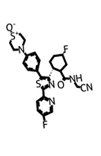 N#CCNC(=O)C1C[C@@H](F)CC[C@H]1c1nc(-c2ccc(F)cn2)sc1-c1ccc(N2CC[S+]([O-])CC2)cc1